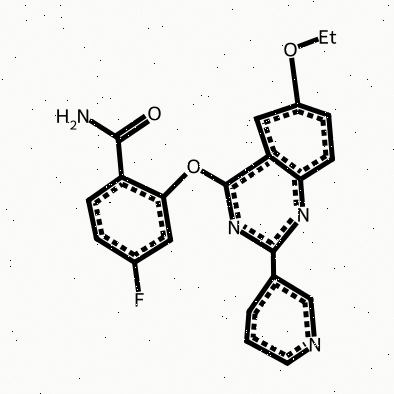 CCOc1ccc2nc(-c3cccnc3)nc(Oc3cc(F)ccc3C(N)=O)c2c1